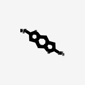 Cc1cc2cc3sc(N)cc3cc2s1